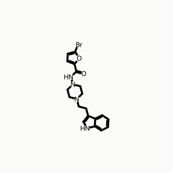 O=C(NN1CCN(CCc2c[nH]c3ccccc23)CC1)c1ccc(Br)o1